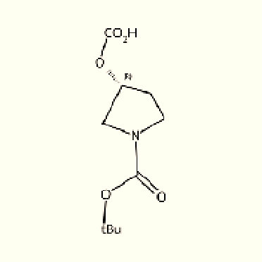 CC(C)(C)OC(=O)N1CC[C@@H](OC(=O)O)C1